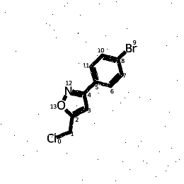 ClCc1cc(-c2ccc(Br)cc2)no1